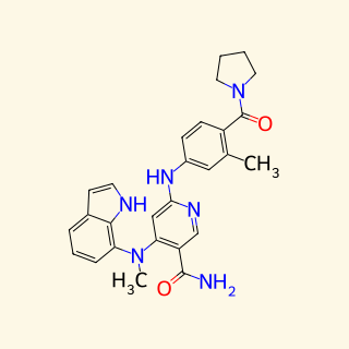 Cc1cc(Nc2cc(N(C)c3cccc4cc[nH]c34)c(C(N)=O)cn2)ccc1C(=O)N1CCCC1